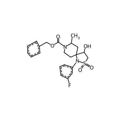 CC1CC2(CCN1C(=O)OCc1ccccc1)C(O)CS(=O)(=O)N2c1cccc(F)c1